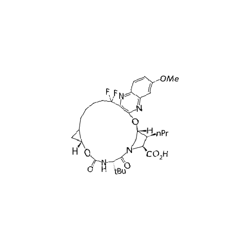 CCC[C@@H]1[C@@H]2CN(C(=O)[C@H](C(C)(C)C)NC(=O)O[C@@H]3CC3CCCCC(F)(F)c3nc4ccc(OC)cc4nc3O2)[C@@H]1C(=O)O